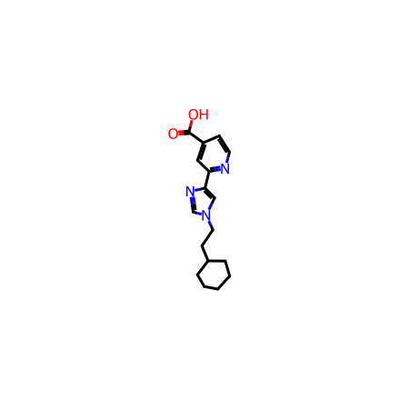 O=C(O)c1ccnc(-c2cn(CCC3CCCCC3)cn2)c1